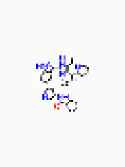 C=Cc1[nH]c(-c2n[nH]c3ccc(-c4cncc(NC(=O)C5CCCCC5)c4)cc23)nc1/C(=C\CC)c1ccccn1